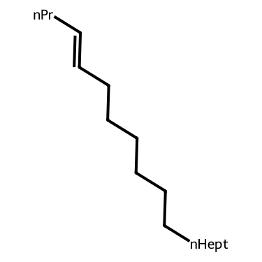 [CH2][CH]CC=CCCCCCCCCCCCCC